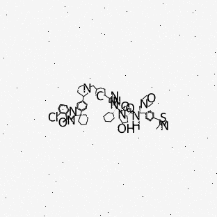 Cc1ncsc1-c1ccc([C@H](CN2CCOCC2)NC(=O)[C@@H]2C[C@@H](O)CN2C(=O)[C@H](C2CCCCC2)n2cc(C3CCC(CN4CCCC(c5ccc6c(c5)-n5c(nc(=O)c7c(Cl)cccc75)C65CCCCC5)C4)CC3)nn2)cc1